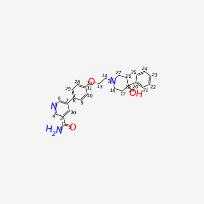 NC(=O)c1cncc(-c2ccc(OCCN3CCC(O)(c4ccccc4)CC3)cc2)c1